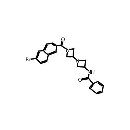 O=C(NC1CN(C2CN(C(=O)c3ccc4cc(Br)ccc4c3)C2)C1)c1ccccc1